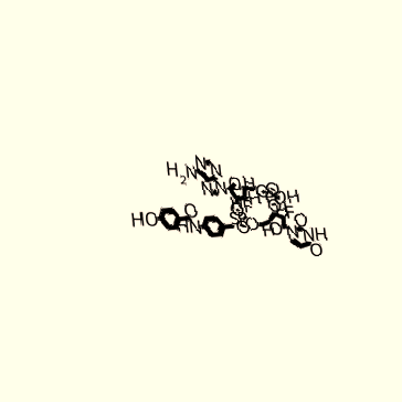 Nc1ncnc2c1ncn2[C@@H]1O[C@@H]2COP(=O)(O)O[C@H]3[C@@H](F)[C@H](n4ccc(=O)[nH]c4=O)O[C@@H]3COP(=O)(SCc3ccc(NC(=O)c4ccc(O)cc4)cc3)O[C@@H]1[C@@H]2F